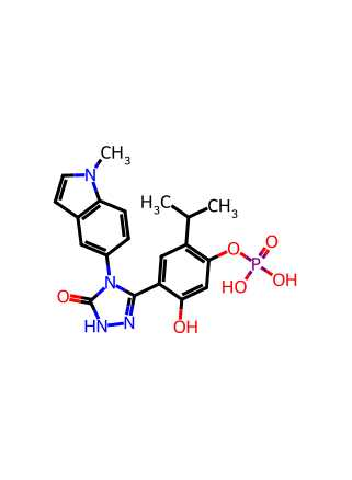 CC(C)c1cc(-c2n[nH]c(=O)n2-c2ccc3c(ccn3C)c2)c(O)cc1OP(=O)(O)O